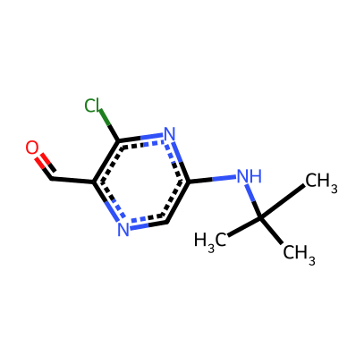 CC(C)(C)Nc1cnc(C=O)c(Cl)n1